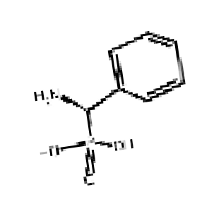 N[C@@H](c1ccccc1)P(=O)(O)O